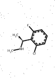 CN[C@@H](C)c1c(F)cccc1Cl